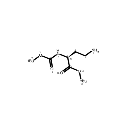 CC(C)(C)OC(=O)N[C@@H](CCN)C(=O)OC(C)(C)C